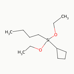 CCCC[Si](OCC)(OCC)C1CCC1